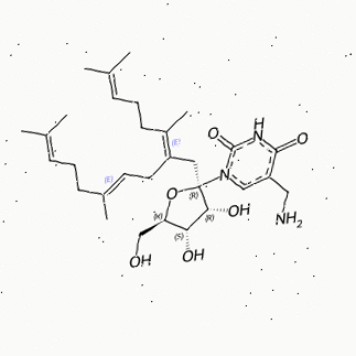 CC(C)=CCC/C(C)=C/C/C(C[C@@]1(n2cc(CN)c(=O)[nH]c2=O)O[C@H](CO)[C@@H](O)[C@H]1O)=C(/C)CCC=C(C)C